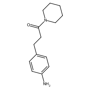 Nc1ccc(CCC(=O)N2CCCCC2)cc1